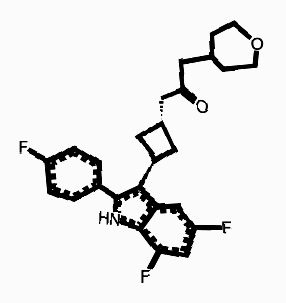 O=C(CC1CCOCC1)C[C@H]1C[C@H](c2c(-c3ccc(F)cc3)[nH]c3c(F)cc(F)cc32)C1